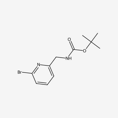 CC(C)(C)OC(=O)NCc1cccc(Br)n1